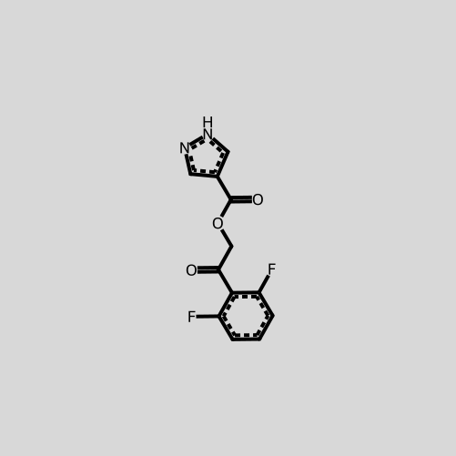 O=C(OCC(=O)c1c(F)cccc1F)c1cn[nH]c1